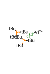 CC(C)(C)P(C(C)(C)C)C(C)(C)C.CC(C)(C)P(C(C)(C)C)C(C)(C)C.[Cl-].[Cl-].[Pd+2]